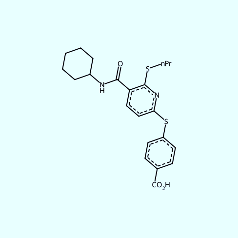 CCCSc1nc(Sc2ccc(C(=O)O)cc2)ccc1C(=O)NC1CCCCC1